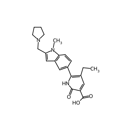 CCc1cc(C(=O)O)c(=O)[nH]c1-c1ccc2c(c1)cc(CN1CCCC1)n2C